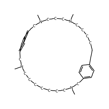 CN1CCCCCc2ccc(cc2)CN(C)CCCCCCCN(C)Cc2ccc(cc2)CN(C)CCC1